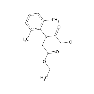 CCOC(=O)CN(C(=O)CCl)c1c(C)cccc1C